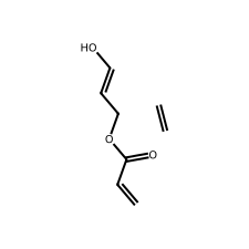 C=C.C=CC(=O)OCC=CO